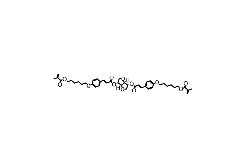 C=C(C)C(=O)OCCCCCCOc1ccc(/C=C/C(=O)O[C@@H]2CO[C@@H]3[C@H]2OC[C@H]3OC(=O)/C=C/c2ccc(OCCCCCCOC(=O)C(=C)C)cc2)cc1